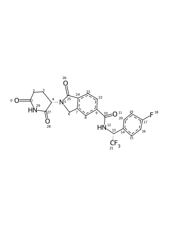 O=C1CC[C@H](N2Cc3cc(C(=O)N[C@H](c4ccc(F)cc4)C(F)(F)F)ccc3C2=O)C(=O)N1